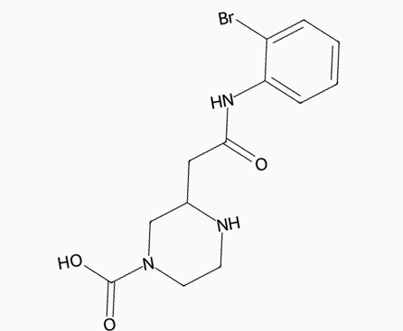 O=C(CC1CN(C(=O)O)CCN1)Nc1ccccc1Br